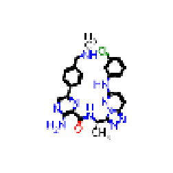 CNCc1ccc(-c2cnc(N)c(C(=O)N[C@H](C)c3nnc4ccc(Nc5cccc(Cl)c5)nn34)n2)cc1